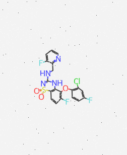 O=S1(=O)N=C(NCc2ncccc2F)Nc2c1ccc(F)c2Oc1ccc(F)cc1Cl